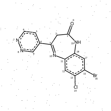 O=C1CC(c2ccnnc2)=Nc2cc(Cl)c(Br)cc2N1